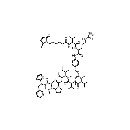 CCC(C)C(C(CC(=O)N1CCCC1C(OC)C(C)C(=O)NC(Cc1ccccc1)c1nccs1)OC)N(C)C(=O)C(NC(=O)C(C(C)C)N(C)C(=O)OCc1ccc(NC(=O)C(CCCNC(N)=O)NC(=O)C(NC(=O)CCCCCN2C(=O)C=CC2=O)C(C)C)cc1)C(C)C